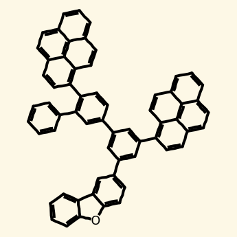 c1ccc(-c2cc(-c3cc(-c4ccc5oc6ccccc6c5c4)cc(-c4ccc5ccc6cccc7ccc4c5c67)c3)ccc2-c2ccc3ccc4cccc5ccc2c3c45)cc1